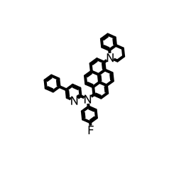 Fc1ccc(N(c2ccc(-c3ccccc3)cn2)c2ccc3ccc4c(N5CCCc6ccccc65)ccc5ccc2c3c54)cc1